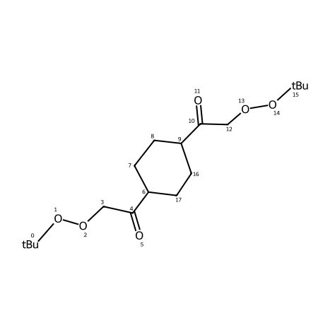 CC(C)(C)OOCC(=O)C1CCC(C(=O)COOC(C)(C)C)CC1